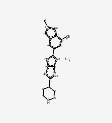 Cl.Cn1cc2cc(-c3nc4sc(C5CCNCC5)nc4s3)cc(C#N)c2n1